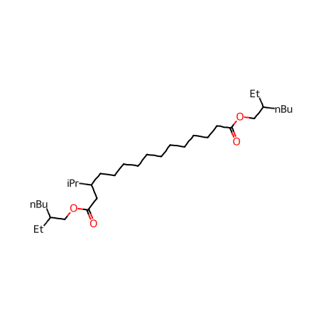 CCCCC(CC)COC(=O)CCCCCCCCCCCC(CC(=O)OCC(CC)CCCC)C(C)C